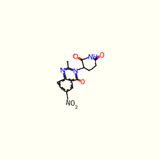 Cc1nc2ccc([N+](=O)[O-])cc2c(=O)n1C1CCC(=O)NC1=O